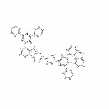 c1ccc(-c2nc(-c3ccccc3)nc(-c3cccc4c3sc3cc(-c5ccc(-c6nc(-c7ccccc7)nc(-c7cccc8oc9ccccc9c78)n6)cc5)ccc34)n2)cc1